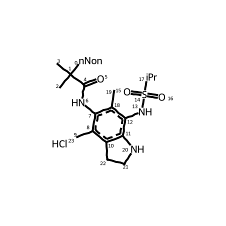 CCCCCCCCCC(C)(C)C(=O)Nc1c(C)c2c(c(NS(=O)(=O)C(C)C)c1C)NCC2.Cl